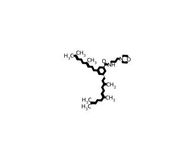 C=C(CC/C=C(\C)CCC=C(C)C)CC[C@@H]1C=C(CC/C=C(\C)CCC=C(C)C)C[C@@H](C(=O)NCCCN2CCOCC2)C1